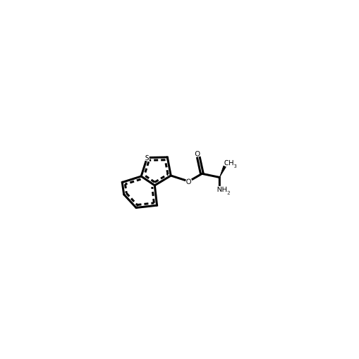 C[C@@H](N)C(=O)Oc1csc2ccccc12